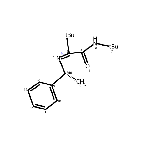 C[C@@H](/N=C(\C(=O)NC(C)(C)C)C(C)(C)C)c1ccccc1